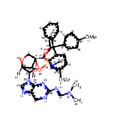 COc1ccc(C(OC[C@@]23CO[C@@H]([C@H](n4cnc5cnc(N=CN(C)C)nc54)O2)[C@@H]3OP(OCCC#N)N(C(C)C)C(C)C)(c2ccccc2)c2ccc(OC)cc2)cc1